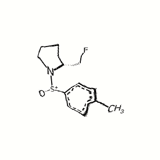 Cc1ccc([S+]([O-])N2CCC[C@@H]2CF)cc1